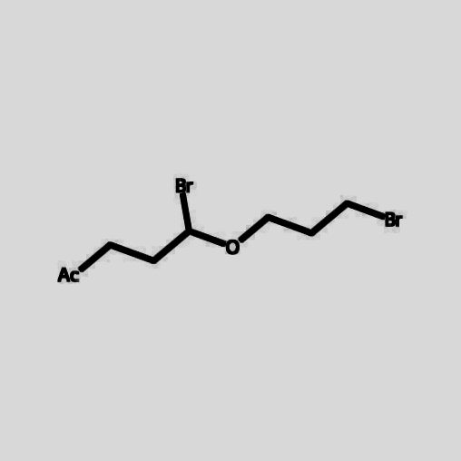 CC(=O)CCC(Br)OCCCBr